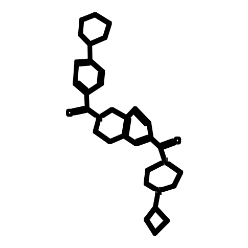 O=C(c1ccc2c(c1)CCN(C(=O)c1ccc(C3CCCCC3)cc1)C2)N1CCN(C2CCC2)CC1